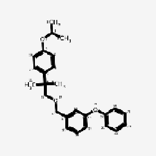 CC(C)Oc1ccc(C(C)(C)COCc2cccc(Oc3ccccc3)c2)cc1